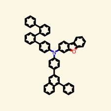 c1ccc(-c2ccccc2-c2ccccc2-c2ccc(N(c3ccc(-c4cc(-c5ccccc5)c5ccccc5c4)cc3)c3ccc4c(c3)oc3ccccc34)cc2)cc1